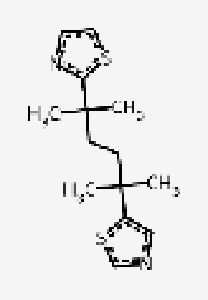 CC(C)(CCC(C)(C)c1nccs1)c1cncs1